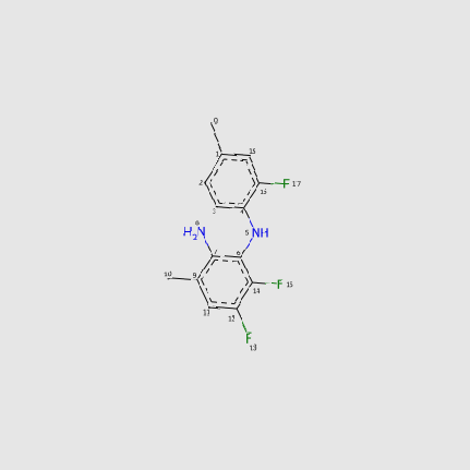 Cc1ccc(Nc2c(N)c(C)cc(F)c2F)c(F)c1